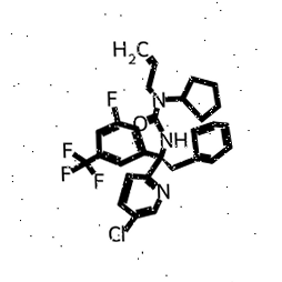 C=CCN(C(=O)N[C@@](Cc1ccccc1)(c1cc(F)cc(C(F)(F)F)c1)c1ccc(Cl)cn1)C1CCCC1